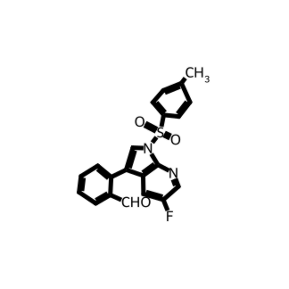 Cc1ccc(S(=O)(=O)n2cc(-c3ccccc3C=O)c3cc(F)cnc32)cc1